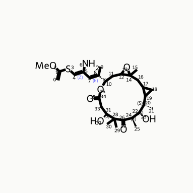 C=C(OC)S/C=C(N)/C=C(\C)[C@@H]1CC2OC2(C)CC2CC2[C@H](C)[C@H](O)[C@@H](C)C(=O)C(C)(C)[C@@H](O)CC(=O)O1